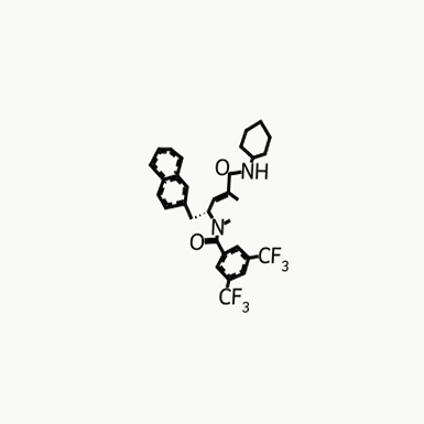 CC(=C[C@@H](Cc1ccc2ccccc2c1)N(C)C(=O)c1cc(C(F)(F)F)cc(C(F)(F)F)c1)C(=O)NC1CCCCC1